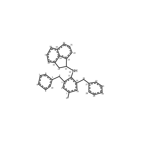 Cc1cc(Cc2ccccc2)c(NC2Cc3cccc4cccc2c34)c(Cc2ccccc2)c1